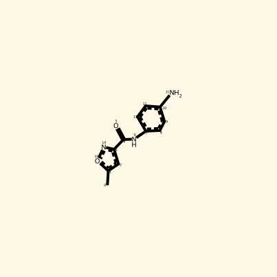 Cc1cc(C(=O)Nc2ccc(N)cc2)no1